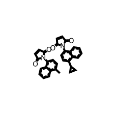 Cc1ccc(N2C(=O)C=CC2=O)c2ccccc12.O=C1C=CC(=O)N1c1ccc(C2CC2)c2ccccc12